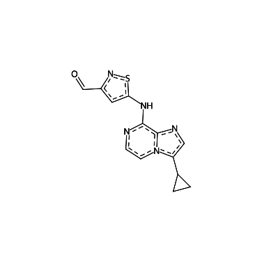 O=Cc1cc(Nc2nccn3c(C4CC4)cnc23)sn1